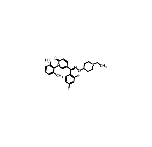 CCN1CCC(O/N=C(/c2ccc(=O)n(-c3c(C)cccc3C)c2)c2ccc(F)cc2F)CC1